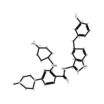 CN1CCN(c2ccc(C(=O)Nc3n[nH]c4ccc(Cc5cccc(F)c5)cc34)c(NC3CCC(O)CC3)c2)CC1